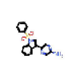 Nc1cnc(-c2cn(S(=O)(=O)c3ccccc3)c3ccccc23)cn1